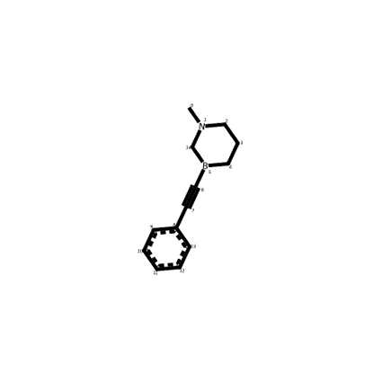 CN1CCCB(C#Cc2ccccc2)C1